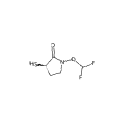 O=C1[C@H](S)CCN1OC(F)F